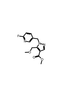 COCc1c(C(=O)OC)cnn1Cc1ccc(F)nc1